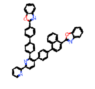 c1ccc(-c2ccc(-c3ccc(-c4ccc(-c5nc6ccccc6o5)c5ccccc45)cc3)c(-c3ccc(-c4ccc(-c5nc6ccccc6o5)cc4)cc3)n2)nc1